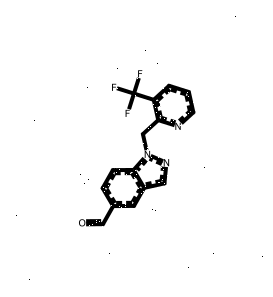 O=Cc1ccc2c(cnn2Cc2ncccc2C(F)(F)F)c1